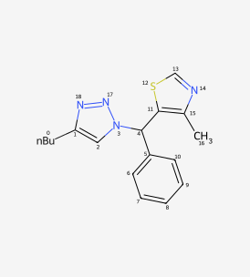 CCCCc1cn(C(c2ccccc2)c2scnc2C)nn1